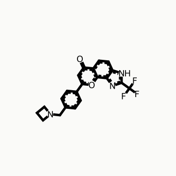 O=c1cc(-c2ccc(CN3CCC3)cc2)oc2c1ccc1[nH]c(C(F)(F)F)nc12